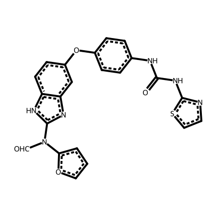 O=CN(c1nc2cc(Oc3ccc(NC(=O)Nc4nccs4)cc3)ccc2[nH]1)c1ccco1